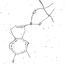 Cc1cc2c(cc1F)CC=C2B1OC(C)(C)C(C)(C)O1